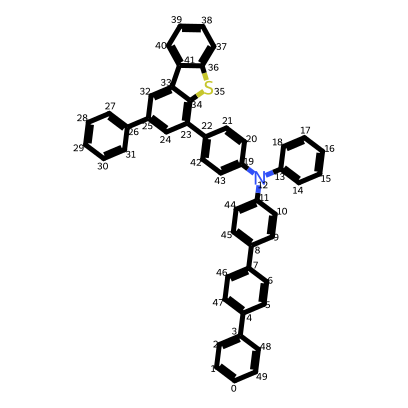 c1ccc(-c2ccc(-c3ccc(N(c4ccccc4)c4ccc(-c5cc(-c6ccccc6)cc6c5sc5ccccc56)cc4)cc3)cc2)cc1